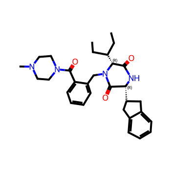 CCC(CC)[C@@H]1C(=O)N[C@H](C2Cc3ccccc3C2)C(=O)N1Cc1ccccc1C(=O)N1CCN(C)CC1